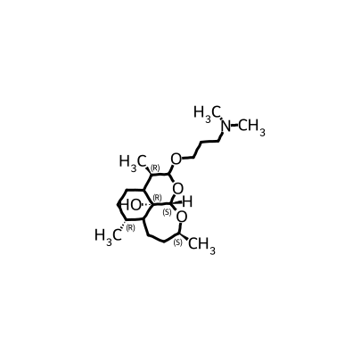 C[C@H]1C(OCCCN(C)C)O[C@@H]2O[C@@H](C)CCC3[C@H](C)CCC1[C@]32O